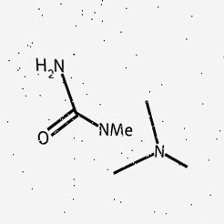 CN(C)C.CNC(N)=O